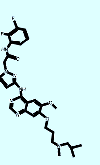 COc1cc2c(Nc3ccn(CC(=O)Nc4cccc(F)c4F)n3)ncnc2cc1OCCCN(C)CC(C)C